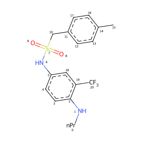 CCCNc1ccc(NS(=O)(=O)Cc2ccc(C)cc2)cc1C(F)(F)F